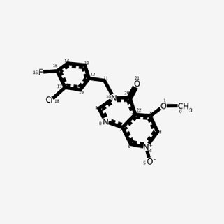 COc1c[n+]([O-])cc2ncn(Cc3ccc(F)c(Cl)c3)c(=O)c12